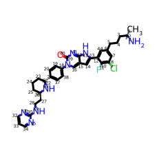 C[C@H](N)CCCc1cc(Cl)c(F)c(-c2cc3cn(-c4ccc([C@H]5CCC[C@H](CCNc6ncccn6)N5)cc4)c(=O)nc3[nH]2)c1